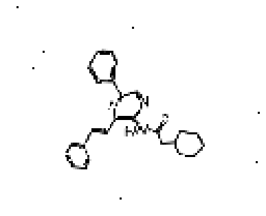 O=C(CC1CCCCC1)Nc1ncc(-c2ccccc2)nc1/C=C/c1ccccc1